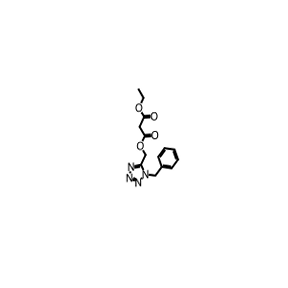 CCOC(=O)CC(=O)OCc1nnnn1Cc1ccccc1